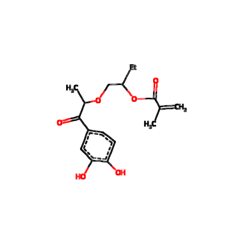 C=C(C)C(=O)OC(CC)COC(C)C(=O)c1ccc(O)c(O)c1